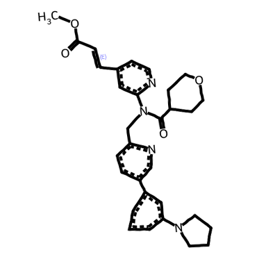 COC(=O)/C=C/c1ccnc(N(Cc2ccc(-c3cccc(N4CCCC4)c3)cn2)C(=O)C2CCOCC2)c1